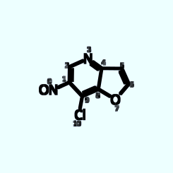 O=Nc1cnc2ccoc2c1Cl